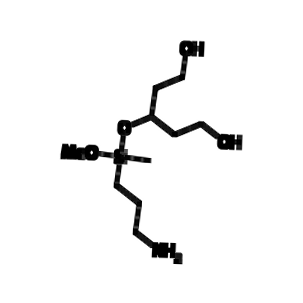 CO[Si](C)(CCCN)OC(CCO)CCO